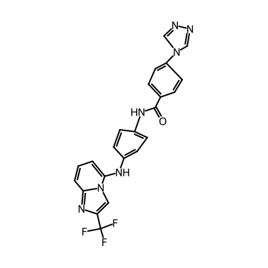 O=C(Nc1ccc(Nc2cccc3nc(C(F)(F)F)cn23)cc1)c1ccc(-n2cnnc2)cc1